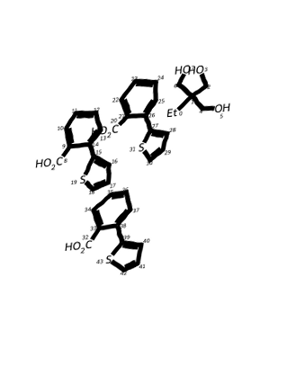 CCC(CO)(CO)CO.O=C(O)c1ccccc1-c1cccs1.O=C(O)c1ccccc1-c1cccs1.O=C(O)c1ccccc1-c1cccs1